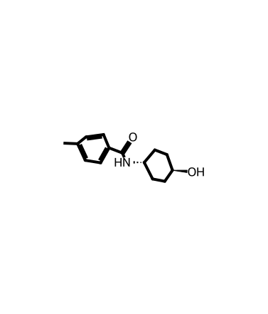 Cc1ccc(C(=O)N[C@H]2CC[C@H](O)CC2)cc1